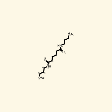 CC(=O)OCCCNC(=O)CCCCC(=O)NCCCOC(C)=O